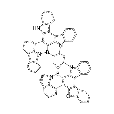 c1ccc2c(c1)[nH]c1c3c4c5c(c6ccccc6n5-c5cc6c(cc5B4n4c5ccccc5c5cccc-3c54)B3c4c(c5oc7ccccc7c5c5c7ccccc7n-6c45)-c4cccc5c6ccccc6n3c45)c12